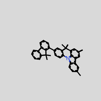 Cc1ccc2c(c1)c1cc(C)cc3c1n2-c1ccc(-c2cccc4c2C(C)(C)c2ccccc2-4)cc1C3(C)C